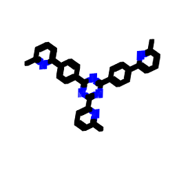 Cc1cccc(-c2ccc(-c3nc(-c4ccc(-c5cccc(C)n5)cc4)nc(-c4cccc(C)n4)n3)cc2)n1